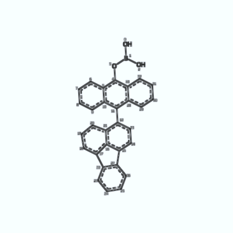 OB(O)Oc1c2ccccc2c(-c2ccc3c4c(cccc24)-c2ccccc2-3)c2ccccc12